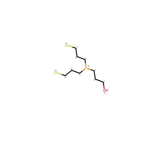 OCCCP(CCCS)CCCS